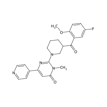 COc1ccc(F)cc1C(=O)C1CCCN(c2nc(-c3ccncc3)cc(=O)n2C)C1